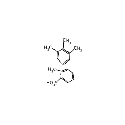 Cc1cccc(C)c1C.Cc1ccccc1S(=O)(=O)O